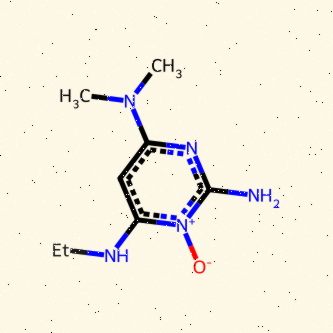 CCNc1cc(N(C)C)nc(N)[n+]1[O-]